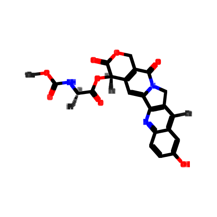 CCc1c2c(nc3ccc(O)cc13)-c1cc3c(c(=O)n1C2)COC(=O)[C@@]3(CC)OC(=O)[C@@H](NC(=O)OC(C)(C)C)C(C)C